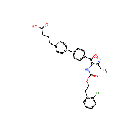 Cc1noc(-c2ccc(-c3ccc(CCCC(=O)O)cc3)cc2)c1NC(=O)OCCc1ccccc1Cl